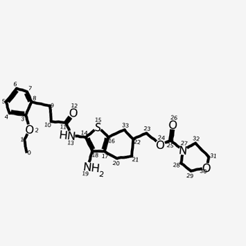 CCOc1ccccc1CCC(=O)Nc1sc2c(c1N)CCC(COC(=O)N1CCOCC1)C2